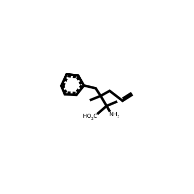 C=CCC(C)(Cc1ccccc1)C(C)(N)C(=O)O